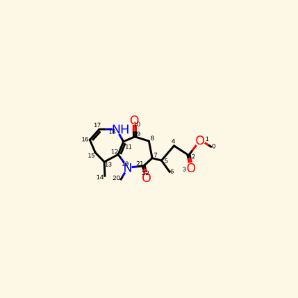 COC(=O)CC(C)C1CC(=O)C2=C(C(C)CC=CN2)N(C)C1=O